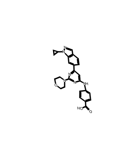 O=C(O)c1ccc(Nc2cc(-c3ccc4cnn(C5CC5)c4c3)nc(N3CCOCC3)n2)cc1